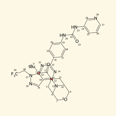 CC(C)(C)OC(=O)N1CC2COCC(C1)N2c1nc(-c2ccc(NC(=O)Nc3cccnc3)cc2)nc2c1cnn2CC(F)(F)F